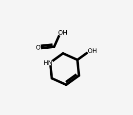 O=CO.OC1C=CCNC1